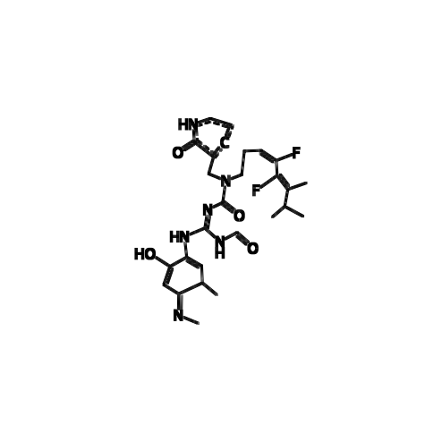 C/N=C1/C=C(O)C(N/C(=N/C(=O)N(CC/C=C(F)\C(F)=C(/C)C(C)C)Cc2ccc[nH]c2=O)NC=O)=CC1C